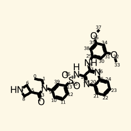 CCN(C(=O)C1CNC1)c1cccc(S(=O)(=O)Nc2nc3ccccc3nc2Nc2cc(OC)cc(OC)c2)c1